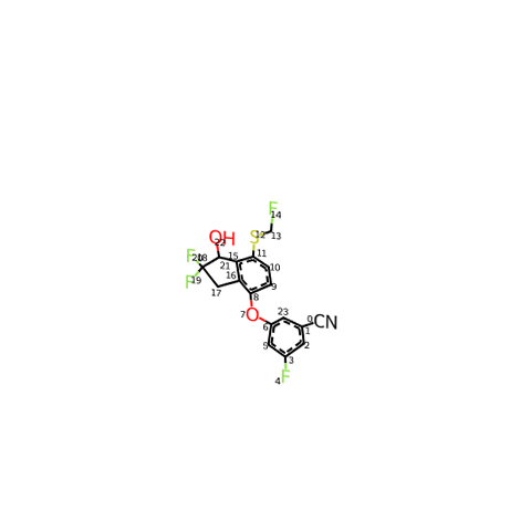 N#Cc1cc(F)cc(Oc2ccc(SCF)c3c2CC(F)(F)C3O)c1